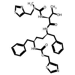 CC(O)[C@H](NC(=O)N(C)Cc1cscn1)C(=O)N[C@H](CC[C@H](Cc1ccccc1)NC(=O)OCc1cncs1)Cc1ccccc1